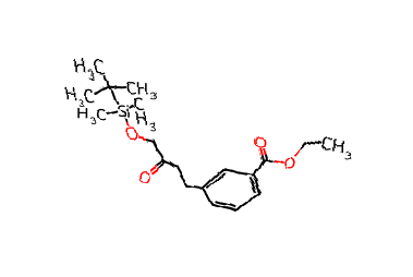 CCOC(=O)c1cccc(CCC(=O)CO[Si](C)(C)C(C)(C)C)c1